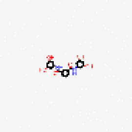 O=C(Nc1cc(O)cc(O)c1)c1cccc(C(=O)Nc2cc(O)cc(O)c2)c1